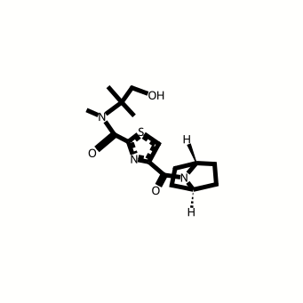 CN(C(=O)c1nc(C(=O)N2[C@H]3CC[C@H]2CC3)cs1)C(C)(C)CO